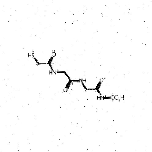 O=C(O)NC(=O)CNC(=O)CNC(=O)CS